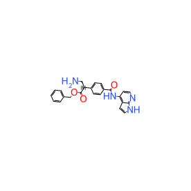 NC[C@H](C(=O)OCc1ccccc1)c1ccc(C(=O)Nc2ccnc3[nH]ccc23)cc1